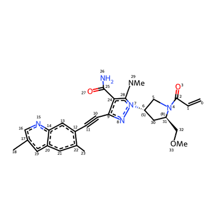 C=CC(=O)N1C[C@@H](n2nc(C#Cc3cc4ncc(C)cc4cc3C)c(C(N)=O)c2NC)C[C@@H]1COC